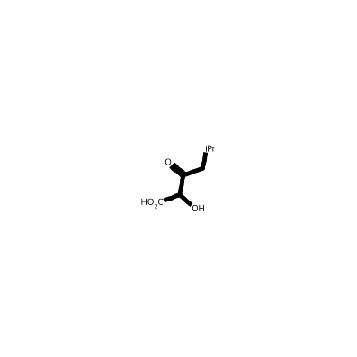 CC(C)CC(=O)C(O)C(=O)O